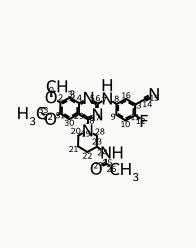 COc1cc2nc(Nc3ccc(F)c(C#N)c3)nc(N3CCCC(NC(C)=O)C3)c2cc1OC